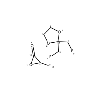 FCC1(CF)OCCO1.O=C1OC1F